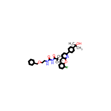 CC(C)(O)c1ccc(-c2ccc3c(n2)Oc2c(F)cccc2[C@@H]3C(C)(C)C(=O)NC(=O)NCCOCc2ccccc2)cc1